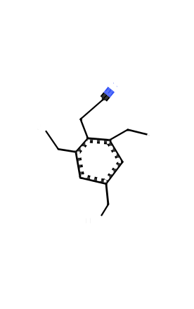 CCc1cc(CC)c(CC#N)c(CC)c1